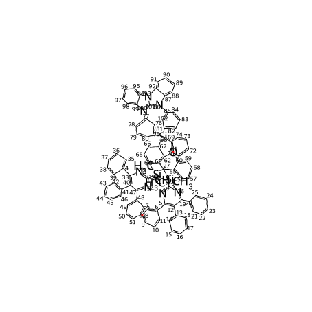 C[Si](C)(c1nc(-c2ccccc2)c(-c2ccccc2)c(-c2ccccc2)n1)C1([Si](C)(C)c2nc(-c3ccccc3)c(-c3ccccc3)c(-c3ccccc3)n2)c2ccccc2Oc2c1cccc2[Si](c1ccccc1)(c1ccccc1)c1cccc(-n2c3ccccc3n3c4ccccc4nc23)c1